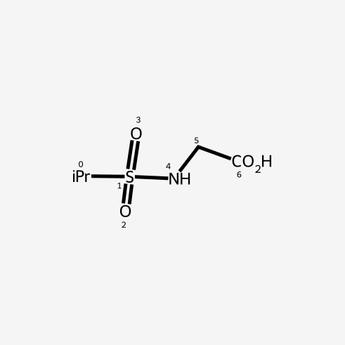 CC(C)S(=O)(=O)NCC(=O)O